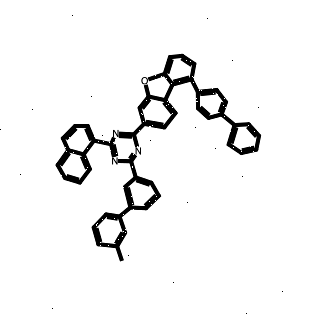 Cc1cccc(-c2cccc(-c3nc(-c4ccc5c(c4)oc4cccc(-c6ccc(-c7ccccc7)cc6)c45)nc(-c4cccc5ccccc45)n3)c2)c1